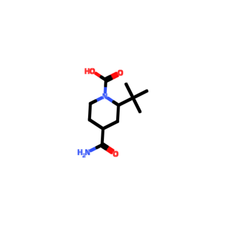 CC(C)(C)C1CC(C(N)=O)CCN1C(=O)O